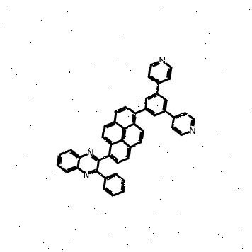 c1ccc(-c2nc3ccccc3nc2-c2ccc3ccc4c(-c5cc(-c6ccncc6)cc(-c6ccncc6)c5)ccc5ccc2c3c54)cc1